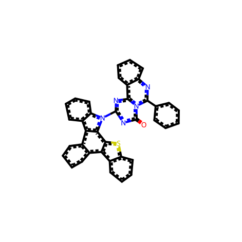 O=c1nc(-n2c3ccccc3c3c4ccccc4c4c5ccccc5sc4c32)nc2c3ccccc3nc(-c3ccccc3)n12